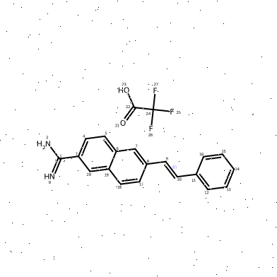 N=C(N)c1ccc2cc(/C=C/c3ccccc3)ccc2c1.O=C(O)C(F)(F)F